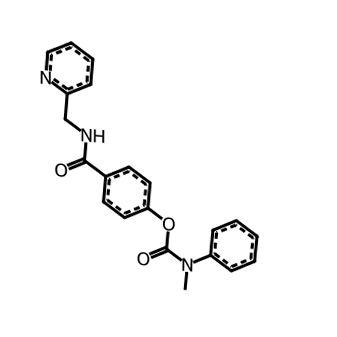 CN(C(=O)Oc1ccc(C(=O)NCc2ccccn2)cc1)c1ccccc1